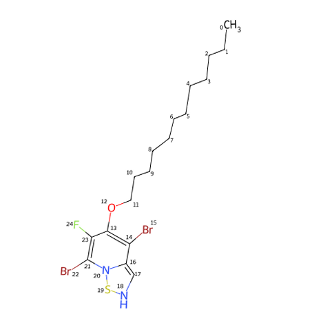 CCCCCCCCCCCCOC1=C(Br)C2=CNSN2C(Br)=C1F